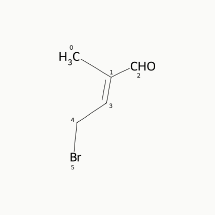 CC(C=O)=CCBr